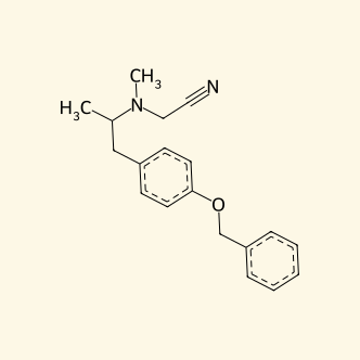 CC(Cc1ccc(OCc2ccccc2)cc1)N(C)CC#N